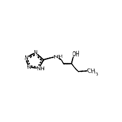 CCC(O)CNc1nnn[nH]1